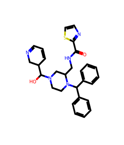 O=C(NCC1CN(C(O)C2C=CC=NC2)CCN1C(c1ccccc1)c1ccccc1)c1nccs1